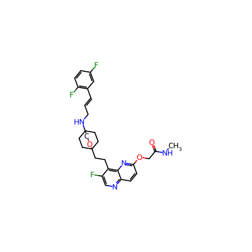 CNC(=O)COc1ccc2ncc(F)c(CCC34CCC(NCC=Cc5cc(F)ccc5F)(CC3)CO4)c2n1